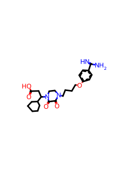 N=C(N)c1ccc(OCCCCN2CCN(C(CC(=O)O)C3CCCCC3)C(=O)C2=O)cc1